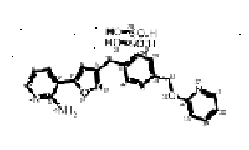 Nc1ncccc1-c1cc(Cc2ccc(COc3ccccn3)cc2)no1.O=S(=O)(O)O.O=S(=O)(O)O